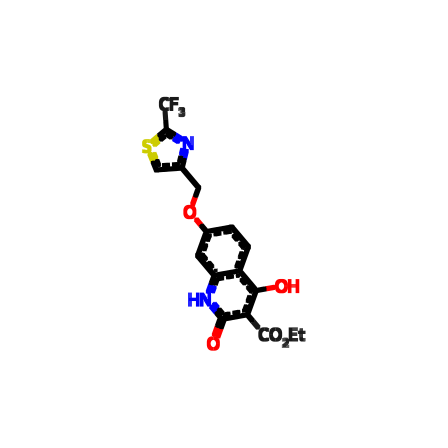 CCOC(=O)c1c(O)c2ccc(OCc3csc(C(F)(F)F)n3)cc2[nH]c1=O